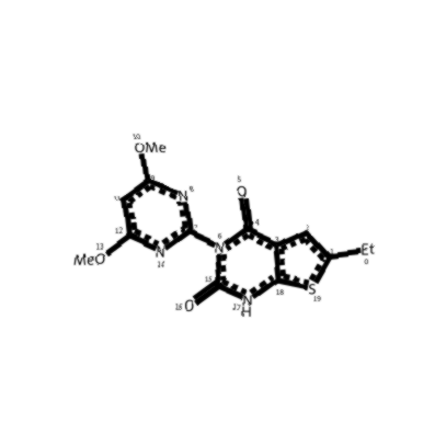 CCc1cc2c(=O)n(-c3nc(OC)cc(OC)n3)c(=O)[nH]c2s1